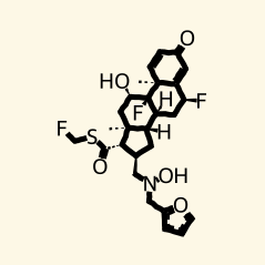 C[C@]12C[C@H](O)[C@@]3(F)[C@@H](C[C@H](F)C4=CC(=O)C=C[C@@]43C)[C@@H]1C[C@@H](CN(O)Cc1ccco1)[C@@H]2C(=O)SCF